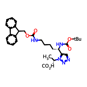 C[C@@H](C(=O)O)n1nncc1[C@H](CCCCNC(=O)OCC1c2ccccc2-c2ccccc21)NC(=O)OC(C)(C)C